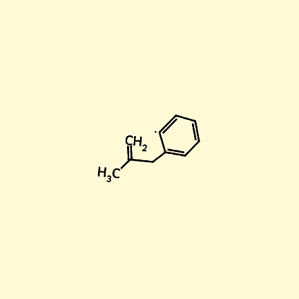 C=C(C)Cc1[c]cccc1